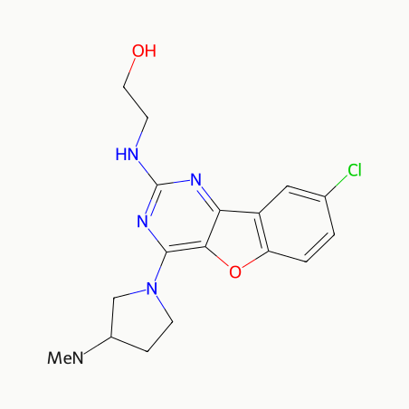 CNC1CCN(c2nc(NCCO)nc3c2oc2ccc(Cl)cc23)C1